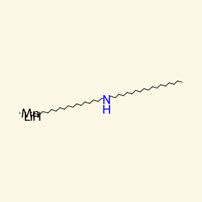 CCCCCCCCCCCCCCCCCCNCCCCCCCCCCCCCCCCCC.[LiH].[Mn]